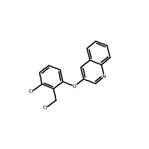 ClCc1c(Cl)cccc1Oc1cnc2ccccc2c1